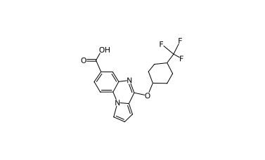 O=C(O)c1ccc2c(c1)nc(OC1CCC(C(F)(F)F)CC1)c1cccn12